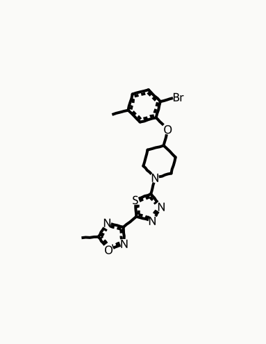 Cc1ccc(Br)c(OC2CCN(c3nnc(-c4noc(C)n4)s3)CC2)c1